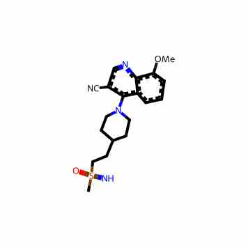 COc1cccc2c(N3CCC(CCS(C)(=N)=O)CC3)c(C#N)cnc12